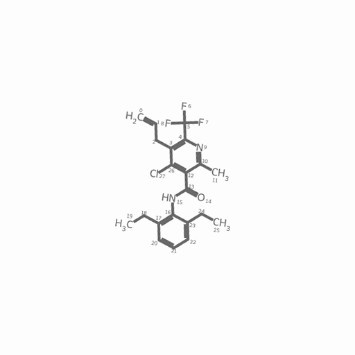 C=CCc1c(C(F)(F)F)nc(C)c(C(=O)Nc2c(CC)cccc2CC)c1Cl